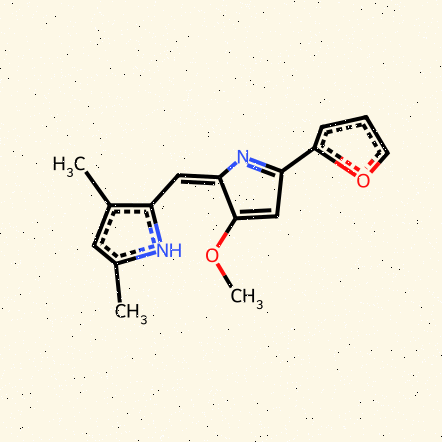 COC1=CC(c2ccco2)=N/C1=C/c1[nH]c(C)cc1C